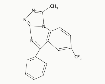 Cc1nnc2nc(-c3ccccc3)c3cc(C(F)(F)F)ccc3n12